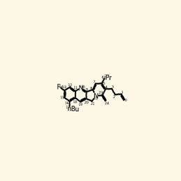 C=CCCC1=C(C(C)C)C=C2c3nc4cc(F)cc(CCCC)c4cc3CN2C1=C